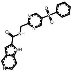 O=C(NCc1ncc(S(=O)(=O)c2ccccc2)cn1)c1cc2cnccc2[nH]1